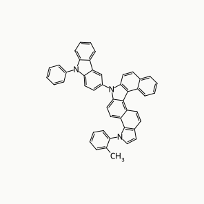 Cc1ccccc1-n1ccc2ccc3c(ccc4c3c3c5ccccc5ccc3n4-c3ccc4c(c3)c3ccccc3n4-c3ccccc3)c21